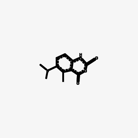 Cc1c(N(C)C)ccc2[nH]c(=O)oc(=O)c12